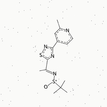 CC(=N[S+]([O-])C(C)(C)C)c1nc(-c2ccnc(C)c2)ns1